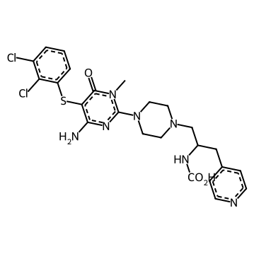 Cn1c(N2CCN(CC(Cc3ccncc3)NC(=O)O)CC2)nc(N)c(Sc2cccc(Cl)c2Cl)c1=O